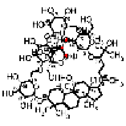 C[C@H](CC[C@@H](O[C@@H]1O[C@H](CO)[C@@H](O)[C@H](O)[C@H]1O[C@@H]1O[C@H](CO)[C@@H](O)[C@H](O[C@@H]2O[C@H](CO)[C@@H](O)[C@H](O)[C@H]2O)[C@H]1O)C(C)(C)O)C1CC[C@@]2(C)C3CC=C4C(CC[C@H](O[C@@H]5O[C@H](CO[C@@H]6O[C@H](CO)[C@@H](O)[C@H](O)[C@H]6O)[C@@H](O)[C@H](O)[C@H]5O)C4(C)C)[C@]3(C)[C@H](O)C[C@]12C